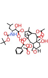 CC(=O)O[C@H]1C(=O)[C@@]2(C)C([C@H](OC(=O)c3ccccc3)[C@]3(O)C[C@H](OC(=O)[C@H](O)[C@H](CC(C)C)NC(=O)OC(C)(C)C)C(C)=C1C3(C)C)[C@]1(OC(C)=O)CO[C@@H]1C[C@@H]2O